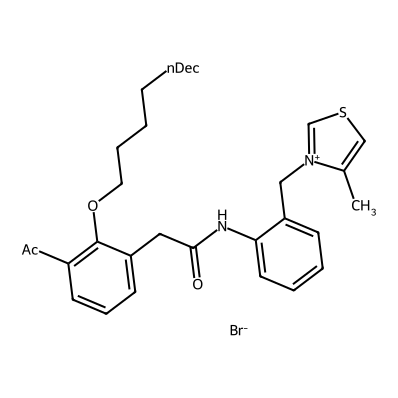 CCCCCCCCCCCCCCOc1c(CC(=O)Nc2ccccc2C[n+]2cscc2C)cccc1C(C)=O.[Br-]